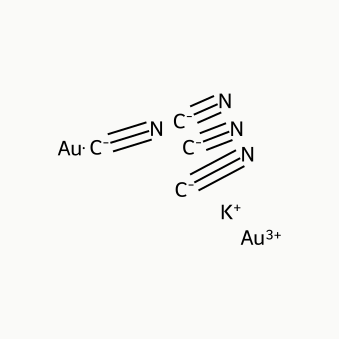 [Au+3].[Au].[C-]#N.[C-]#N.[C-]#N.[C-]#N.[K+]